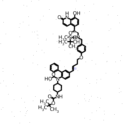 CC(C)(C)OC(=O)NC1CCC(N(C(=O)O)c2ccc(/C=C/CCOc3ccc(CNC[C@@H](O[Si](C)(C)C(C)(C)C)c4ccc(O)c5[nH]c(=O)ccc45)cc3)cc2-c2ccccc2)CC1